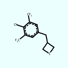 FC(F)(F)c1cc(CC2CSC2)cc(C(F)(F)F)c1Cl